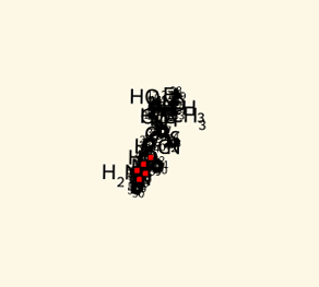 Cc1ncsc1-c1ccc(CNC(=O)[C@@H]2C[C@@H](O)CN2C(=O)[C@@H](NC(=O)C2(F)CC2)C(C)(C)C)c(OC2CCC(N3CCC(c4cnc(N5C6CCC5CN(c5cc(-c7ccccc7O)nnc5N)C6)nc4)CC3)CC2)c1